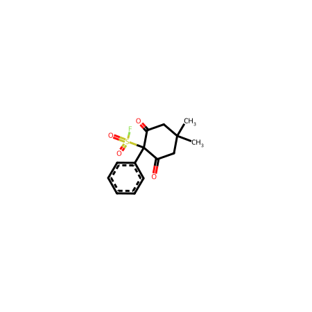 CC1(C)CC(=O)C(c2ccccc2)(S(=O)(=O)F)C(=O)C1